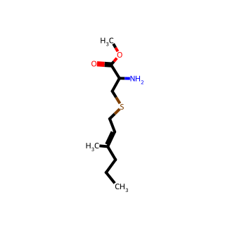 CCC/C(C)=C/CSCC(N)C(=O)OC